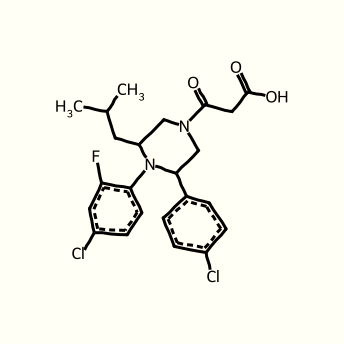 CC(C)CC1CN(C(=O)CC(=O)O)CC(c2ccc(Cl)cc2)N1c1ccc(Cl)cc1F